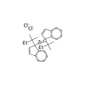 CCC(C)(C)[C]1([Zr+2][C]2(C(C)(C)CC)C=Cc3ccccc32)C=Cc2ccccc21.[Cl-].[Cl-]